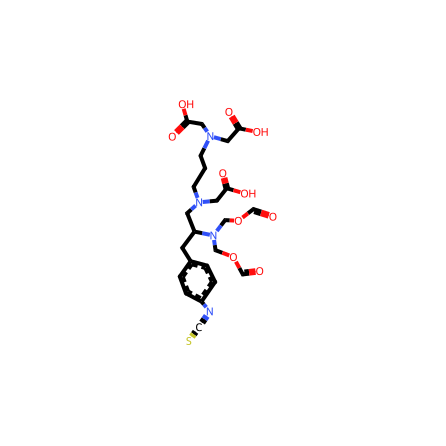 O=COCN(COC=O)C(Cc1ccc(N=C=S)cc1)CN(CCCN(CC(=O)O)CC(=O)O)CC(=O)O